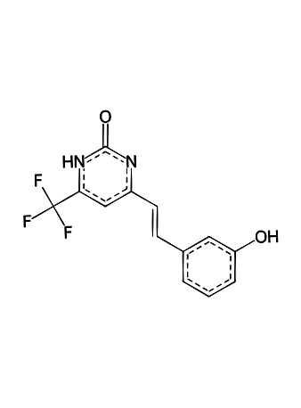 O=c1nc(C=Cc2cccc(O)c2)cc(C(F)(F)F)[nH]1